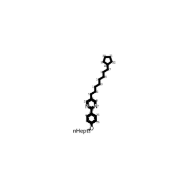 CCCCCCCOc1ccc(-c2ncc(CCCCCCCCC3CCCC3)cn2)cc1